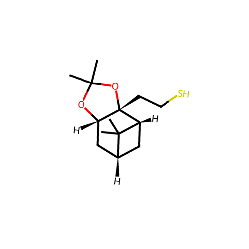 CC1(C)O[C@H]2C[C@H]3C[C@H](C3(C)C)[C@@]2(CCS)O1